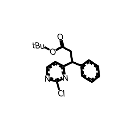 CC(C)(C)OC(=O)CC(c1ccccc1)c1ccnc(Cl)n1